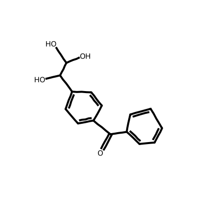 O=C(c1ccccc1)c1ccc(C(O)C(O)O)cc1